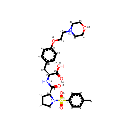 Cc1ccc(S(=O)(=O)N2CCC[C@H]2C(=O)N[C@@H](Cc2ccc(OCCN3CCOCC3)cc2)C(=O)O)cc1